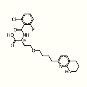 O=C(N[C@@H](CCOCCCCc1ccc2c(n1)NCCC2)C(=O)O)c1c(F)cccc1Cl